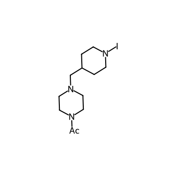 CC(=O)N1CCN(CC2CCN(I)CC2)CC1